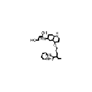 C/C=C(\CCCOC1C=CNC2CCC(N/C(O)=C\CO)CC21)C(C)NC1CCC=CN1